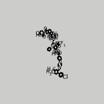 [2H]C1([2H])N(CC[C@H](CSc2ccccc2)Nc2ccc(S(=O)(=O)NC(=O)c3ccc(N4CCN(CC5=C(c6ccc(Cl)cc6)CCC(C)(C)C5)CC4)cc3)cc2S(=O)(=O)C(F)(F)F)C([2H])([2H])C([2H])([2H])N(Cc2ccc3c(c2Br)CN(C2CCC(=O)NC2=O)C3=O)C1([2H])[2H]